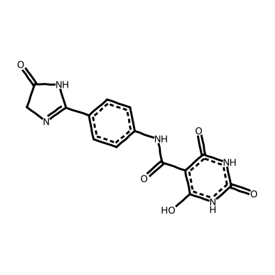 O=C1CN=C(c2ccc(NC(=O)c3c(O)[nH]c(=O)[nH]c3=O)cc2)N1